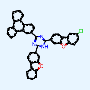 Clc1ccc2oc3cc(C4=NC(c5ccc6c7ccccc7c7ccccc7c6c5)=NC(c5ccc6c(c5)oc5ccccc56)N4)ccc3c2c1